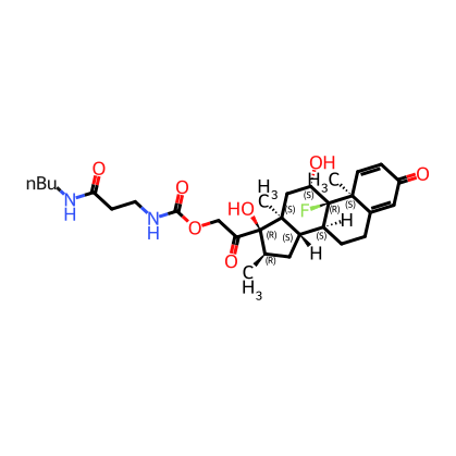 CCCCNC(=O)CCNC(=O)OCC(=O)[C@@]1(O)[C@H](C)C[C@H]2[C@@H]3CCC4=CC(=O)C=C[C@]4(C)[C@@]3(F)[C@@H](O)C[C@@]21C